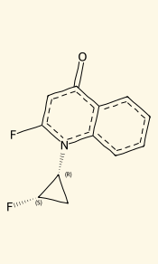 O=c1cc(F)n([C@@H]2C[C@@H]2F)c2ccccc12